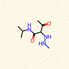 CNNC(C(C)=O)C(=O)NC(C)C